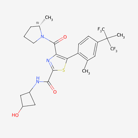 Cc1cc(C(C)(C(F)(F)F)C(F)(F)F)ccc1-c1sc(C(=O)NC2CC(O)C2)nc1C(=O)N1CCC[C@@H]1C